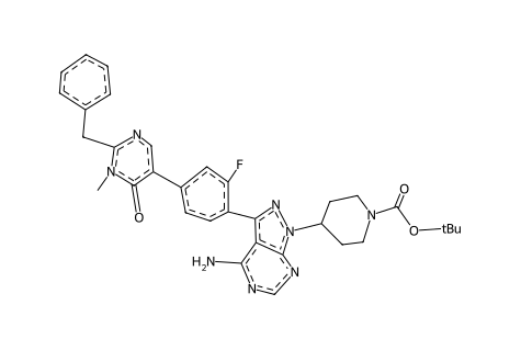 Cn1c(Cc2ccccc2)ncc(-c2ccc(-c3nn(C4CCN(C(=O)OC(C)(C)C)CC4)c4ncnc(N)c34)c(F)c2)c1=O